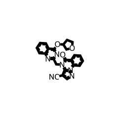 N#Cc1cnn2c3ccccc3c(=O)n(Cc3nc(OC4CCOC4)c4ccccc4n3)c12